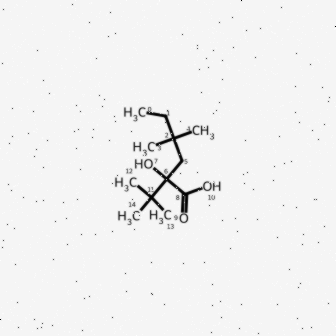 CCC(C)(C)CC(O)(C(=O)O)C(C)(C)C